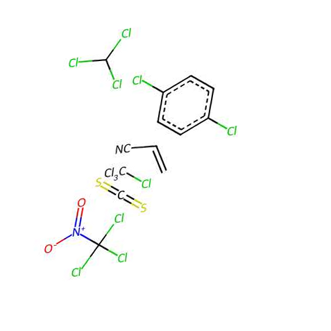 C=CC#N.ClC(Cl)(Cl)Cl.ClC(Cl)Cl.Clc1ccc(Cl)cc1.O=[N+]([O-])C(Cl)(Cl)Cl.S=C=S